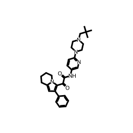 CC(C)(C)CN1CCN(c2ccc(NC(=O)C(=O)c3c(-c4ccccc4)cc4n3CCCC4)cn2)CC1